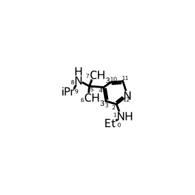 CCNc1cc(C(C)(C)NC(C)C)ccn1